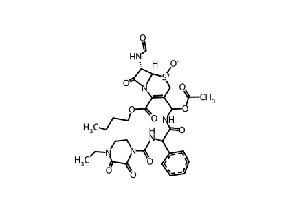 CCCCOC(=O)C1=C(C(NC(=O)C(NC(=O)N2CCN(CC)C(=O)C2=O)c2ccccc2)OC(C)=O)C[S+]([O-])[C@@H]2[C@@H](NC=O)C(=O)N12